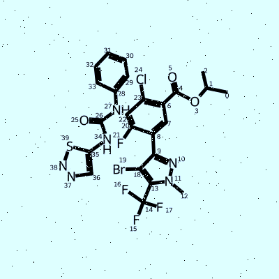 CC(C)OC(=O)c1cc(-c2nn(C)c(C(F)(F)F)c2Br)c(F)cc1Cl.O=C(Nc1ccccc1)Nc1cnns1